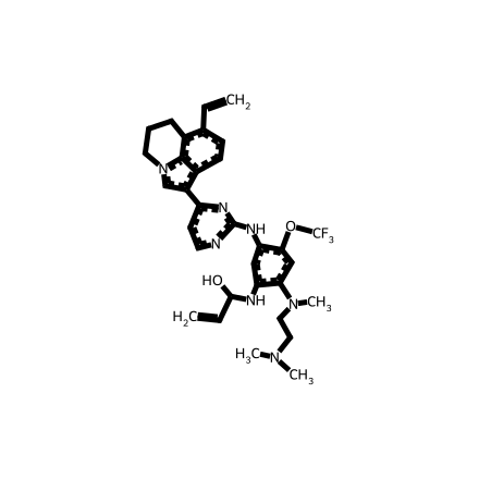 C=Cc1ccc2c(-c3ccnc(Nc4cc(NC(O)C=C)c(N(C)CCN(C)C)cc4OC(F)(F)F)n3)cn3c2c1CCC3